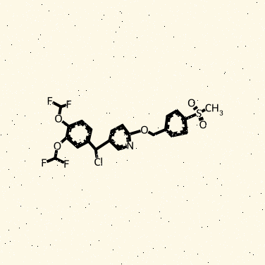 CS(=O)(=O)c1ccc(COc2ccc(C(Cl)c3ccc(OC(F)F)c(OC(F)F)c3)cn2)cc1